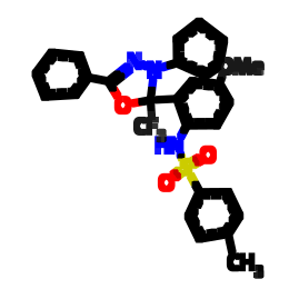 COc1ccc(NS(=O)(=O)c2ccc(C)cc2)c(C2(C(F)(F)F)OC(c3ccccc3)=NN2c2ccccc2)c1